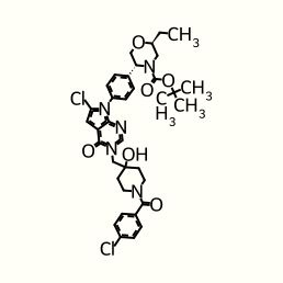 CC[C@H]1CN(C(=O)OC(C)(C)C)[C@H](c2ccc(-n3c(Cl)cc4c(=O)n(CC5(O)CCN(C(=O)c6ccc(Cl)cc6)CC5)cnc43)cc2)CO1